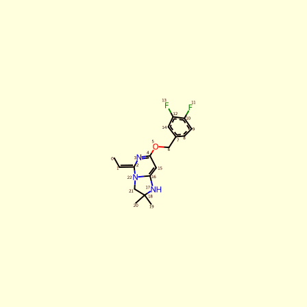 C/C=C1\N=C(OCc2ccc(F)c(F)c2)C=C2NC(C)(C)CN21